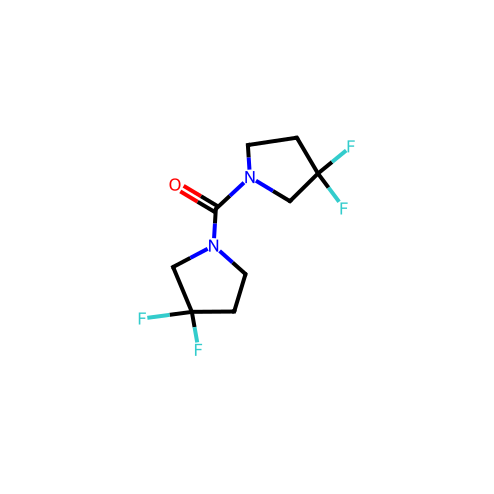 O=C(N1CCC(F)(F)C1)N1CCC(F)(F)C1